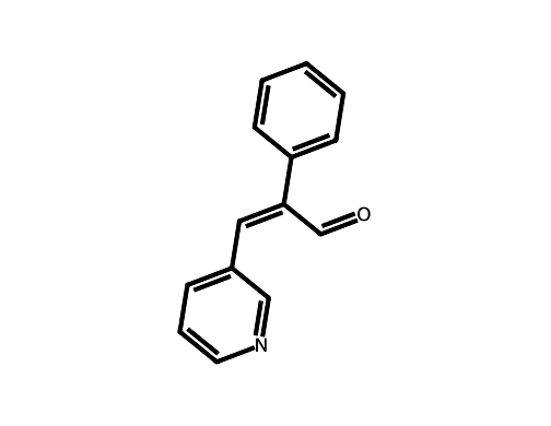 O=CC(=Cc1cccnc1)c1ccccc1